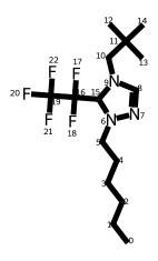 CCCCCCN1N=CN(CC(C)(C)C)C1C(F)(F)C(F)(F)F